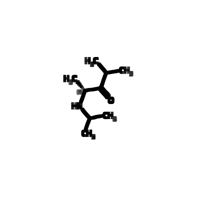 CC(C)N[C@H](C)C(=O)C(C)C